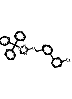 CCc1cccc(-c2cccc(COc3ncn(C(c4ccccc4)(c4ccccc4)c4ccccc4)n3)c2)c1